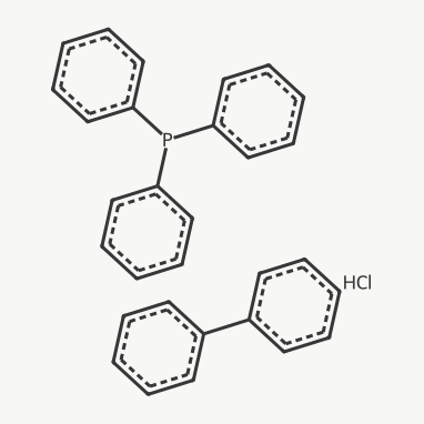 Cl.c1ccc(-c2ccccc2)cc1.c1ccc(P(c2ccccc2)c2ccccc2)cc1